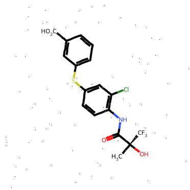 C[C@@](O)(C(=O)Nc1ccc(Sc2cccc(C(=O)O)c2)cc1Cl)C(F)(F)F